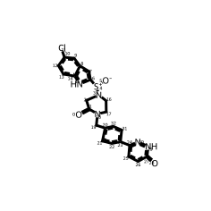 O=C1CN([S+]([O-])c2cc3cc(Cl)ccc3[nH]2)CCN1Cc1ccc(-c2ccc(=O)[nH]n2)cc1